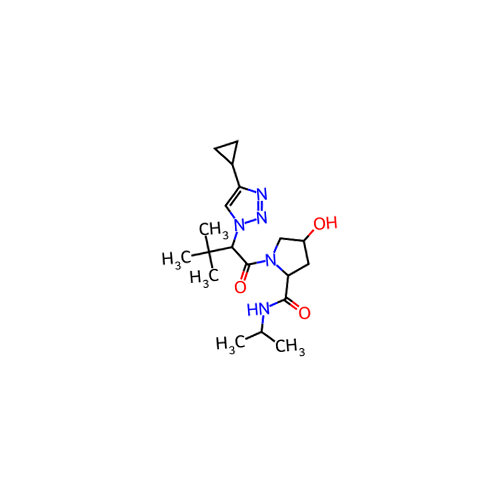 CC(C)NC(=O)C1CC(O)CN1C(=O)C(n1cc(C2CC2)nn1)C(C)(C)C